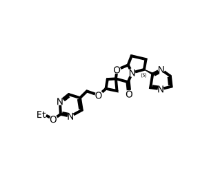 CCOc1ncc(COC2CC3(C2)OC2CC[C@@H](c4cnccn4)N2C3=O)cn1